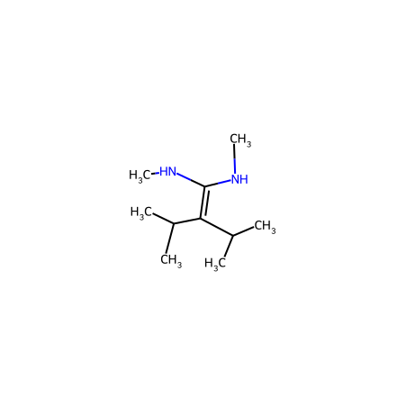 CNC(NC)=C(C(C)C)C(C)C